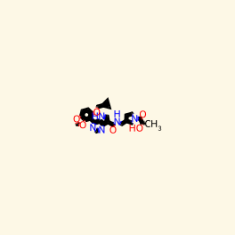 C[C@H](O)C(=O)N1CCC(CNC(=O)c2c[nH]c3c(-c4c(OCC5CC5)ccc5c4OCO5)ncnc23)C1